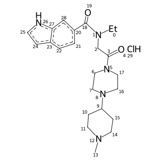 CCN(CC(=O)N1CCN(C2CCN(C)CC2)CC1)C(=O)c1ccc2cc[nH]c2c1.Cl